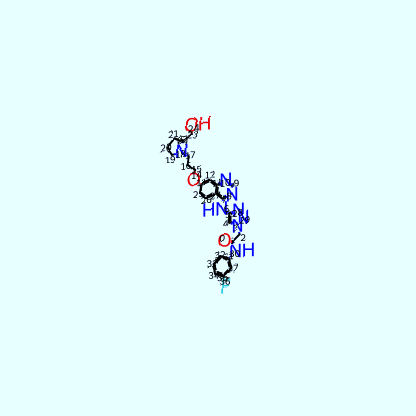 O=C(Cn1cc(Nc2ncnc3cc(OCCCN4CCC[C@H]4CO)ccc23)nn1)Nc1cccc(F)c1